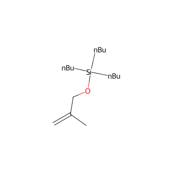 C=C(C)CO[Si](CCCC)(CCCC)CCCC